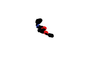 CC12CN(Cc3ccccc3)CC1c1cccc(OCc3ccccc3)c1CO2